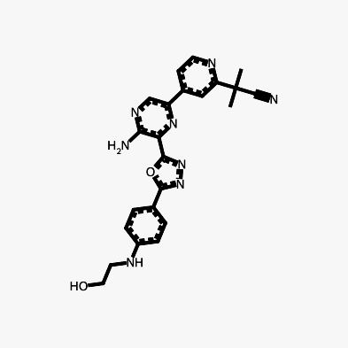 CC(C)(C#N)c1cc(-c2cnc(N)c(-c3nnc(-c4ccc(NCCO)cc4)o3)n2)ccn1